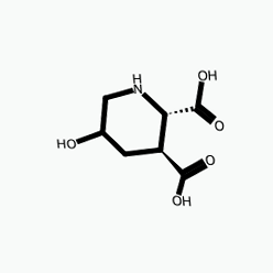 O=C(O)[C@H]1CC(O)CN[C@@H]1C(=O)O